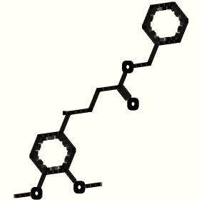 COc1ccc([CH]CCC(=O)OCc2ccccc2)cc1OC